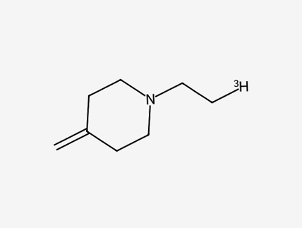 [3H]CCN1CCC(=C)CC1